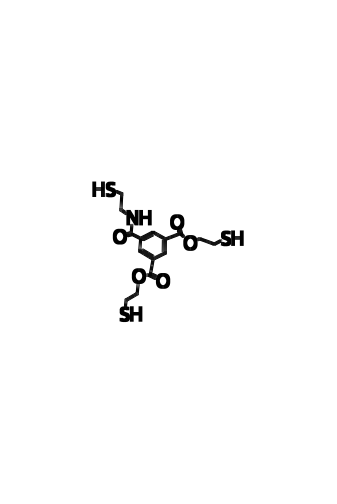 O=C(NCCS)c1cc(C(=O)OCCS)cc(C(=O)OCCS)c1